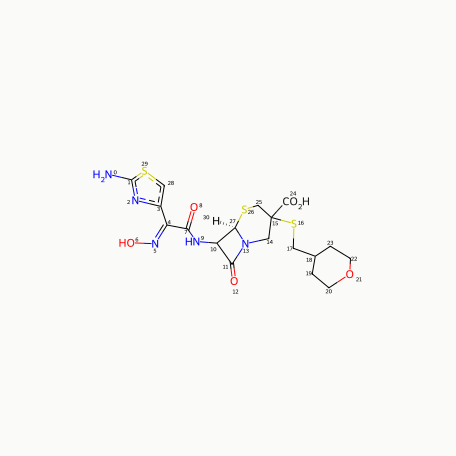 Nc1nc(C(=NO)C(=O)NC2C(=O)N3CC(SCC4CCOCC4)(C(=O)O)CS[C@H]23)cs1